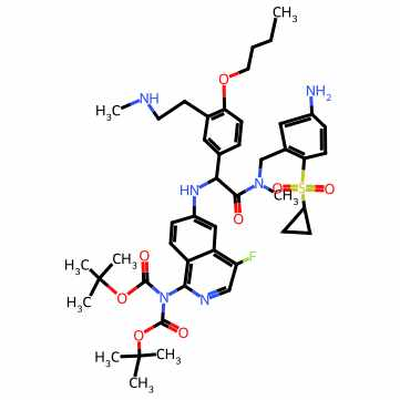 CCCCOc1ccc(C(Nc2ccc3c(N(C(=O)OC(C)(C)C)C(=O)OC(C)(C)C)ncc(F)c3c2)C(=O)N(C)Cc2cc(N)ccc2S(=O)(=O)C2CC2)cc1CCNC